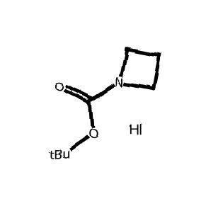 CC(C)(C)OC(=O)N1CCC1.I